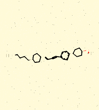 CCCCC[C@H]1CC[C@H](C=CC#Cc2ccc([C@H]3CC[C@H](OC)CC3)cc2)CC1